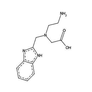 NCCN(CC(=O)O)Cc1nc2ccccc2[nH]1